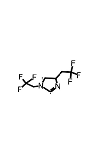 FC(F)(F)CC1[C]N(CC(F)(F)F)[C]=N1